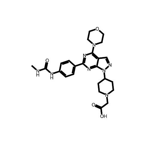 CNC(=O)Nc1ccc(-c2nc(N3CCOCC3)c3cnn(C4CCN(CC(=O)O)CC4)c3n2)cc1